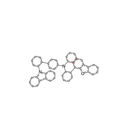 c1ccc(N(c2ccc(-c3ccccc3-n3c4ccccc4c4ccccc43)cc2)c2ccccc2-c2cccc3c2oc2ccccc23)cc1